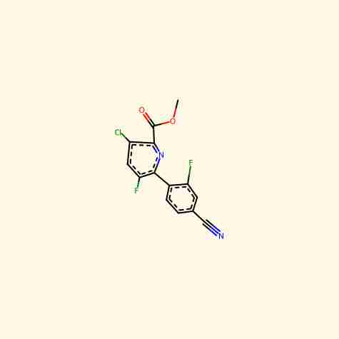 COC(=O)c1nc(-c2ccc(C#N)cc2F)c(F)cc1Cl